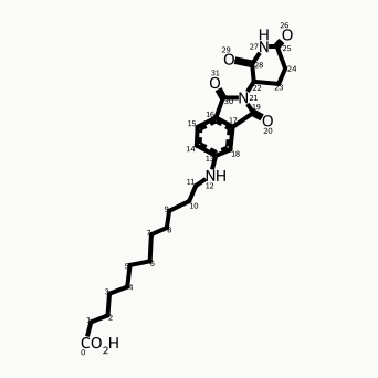 O=C(O)CCCCCCCCCCCNc1ccc2c(c1)C(=O)N(C1CCC(=O)NC1=O)C2=O